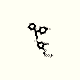 O=C(O)COc1ccc(SCC=C(c2ccccc2)c2ccc(I)cc2)cc1Br